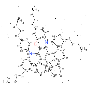 CCCCc1ccc(N2c3ccc(CCCC)cc3B3c4cc(CCCC)ccc4N(c4ccc(CCCC)cc4)c4cc(C(c5ccccc5)(c5ccccc5)c5ccccc5)cc2c43)cc1